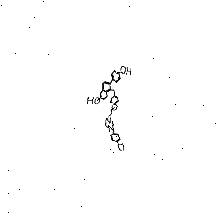 Oc1ccc(-c2ccc3cc(O)ccc3c2Cc2ccc(OCCCN3CCN(c4ccc(Cl)cc4)CC3)cc2)cc1